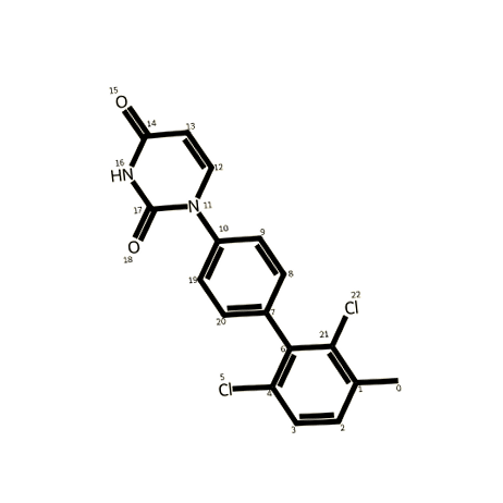 Cc1ccc(Cl)c(-c2ccc(-n3ccc(=O)[nH]c3=O)cc2)c1Cl